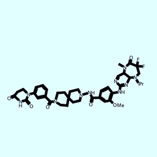 COc1cc(C(=O)NN2CCC3(CC2)CCN(C(=O)c2cccc(N4CCC(=O)NC4=O)c2)CC3)ccc1NC1=NC2C(C=N1)N(C)C(=O)C(F)(F)CN2C(C)C